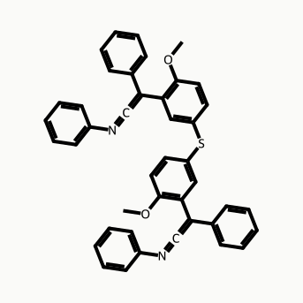 COc1ccc(Sc2ccc(OC)c(C(=C=Nc3ccccc3)c3ccccc3)c2)cc1C(=C=Nc1ccccc1)c1ccccc1